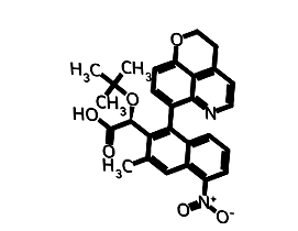 Cc1cc2c([N+](=O)[O-])cccc2c(-c2ccc3c4c(ccnc24)CCO3)c1[C@H](OC(C)(C)C)C(=O)O